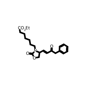 CCOC(=O)CCCCCCN1C(=O)OCC1/C=C/C(=O)Cc1ccccc1